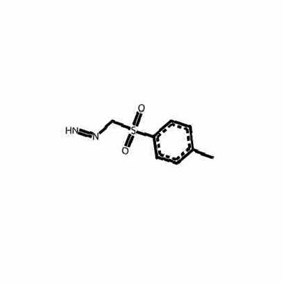 Cc1ccc(S(=O)(=O)CN=N)cc1